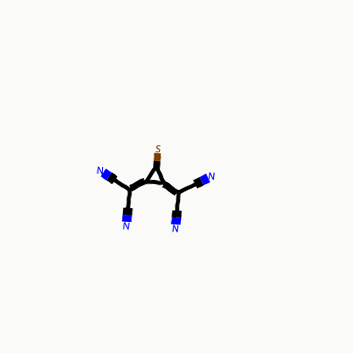 N#CC(C#N)=c1c(=S)c1=C(C#N)C#N